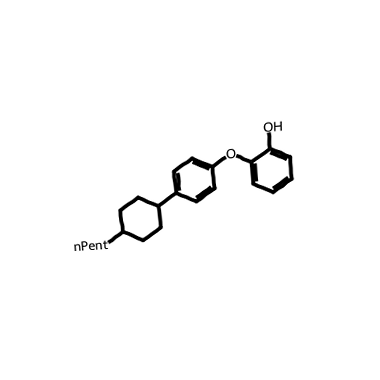 CCCCCC1CCC(c2ccc(Oc3ccccc3O)cc2)CC1